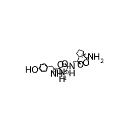 C[C@H](NC(=O)[C@@H](N)Cc1ccc(O)cc1)C(=O)NCC(=O)C1CCC[C@H]1C(N)=O